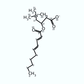 CCCCCC=CC=CC(=O)OC(CC(=O)[O-])C[N+](C)(C)C